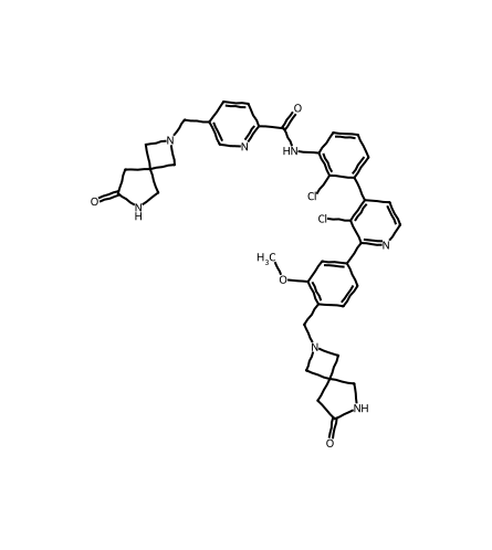 COc1cc(-c2nccc(-c3cccc(NC(=O)c4ccc(CN5CC6(CNC(=O)C6)C5)cn4)c3Cl)c2Cl)ccc1CN1CC2(CNC(=O)C2)C1